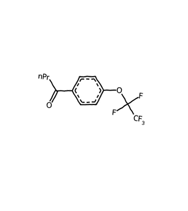 [CH2]CCC(=O)c1ccc(OC(F)(F)C(F)(F)F)cc1